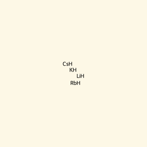 [CsH].[KH].[LiH].[RbH]